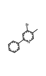 Cc1cnc(-c2ccccc2)cc1Br